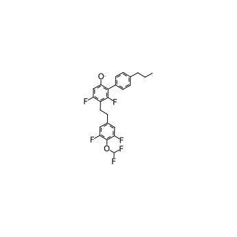 CCCc1ccc(-c2c([O])cc(F)c(CCc3cc(F)c(OC(F)F)c(F)c3)c2F)cc1